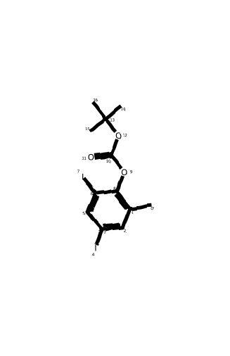 Cc1cc(I)cc(I)c1OC(=O)OC(C)(C)C